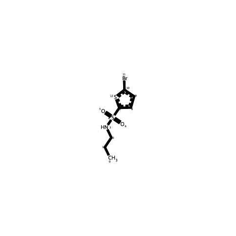 CCCNS(=O)(=O)c1ccc(Br)s1